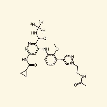 [2H]C([2H])([2H])NC(=O)c1nnc(NC(=O)C2CC2)cc1Nc1cccc(-c2cnn(CCNC(C)=O)c2)c1OC